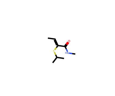 C/C=C(\SC(C)C)C(=O)NC